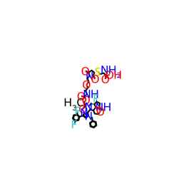 C[C@H](OC(=O)NCCOCCN1C(=O)CC(SC[C@H](N)C(=O)O)C1=O)C(=O)N(C[C@@H]1CNC[C@@H]1F)[C@@H](c1nc(-c2cc(F)ccc2F)cn1Cc1ccccc1)C1CCOCC1